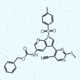 CSc1ncc(C#N)c(-c2cn(S(=O)(=O)c3ccc(C)cc3)c3ncc(NC(=O)OCc4ccccc4)cc23)n1